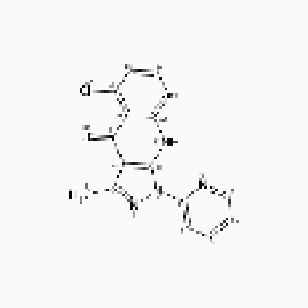 Cc1nn(-c2ccccn2)c2[nH]c3cccc(Cl)c3c(=O)c12